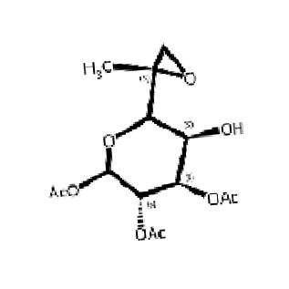 CC(=O)OC1OC([C@]2(C)CO2)[C@@H](O)[C@@H](OC(C)=O)[C@@H]1OC(C)=O